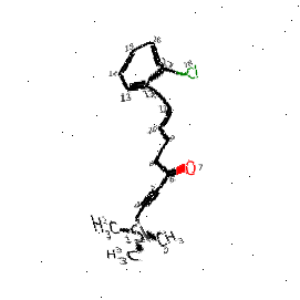 C[Si](C)(C)C#CC(=O)CC/C=C/c1ccccc1Cl